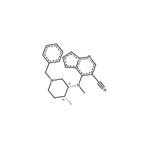 C[C@@H]1CCN(Cc2ccccc2)C[C@@H]1N(C)c1c(C#N)cnn2cccc12